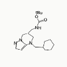 CC(C)(C)OC(=O)NCC1CN(CC2CCCCC2)c2ccnn2C1